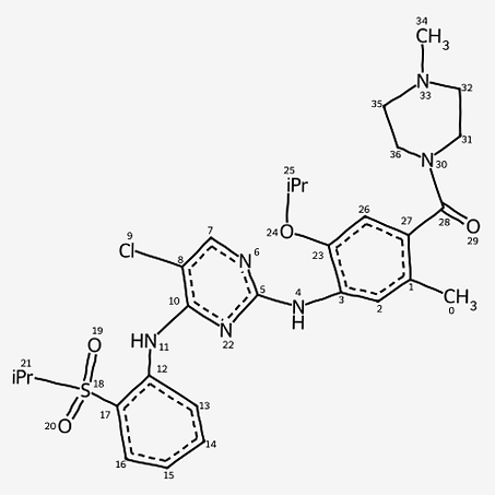 Cc1cc(Nc2ncc(Cl)c(Nc3ccccc3S(=O)(=O)C(C)C)n2)c(OC(C)C)cc1C(=O)N1CCN(C)CC1